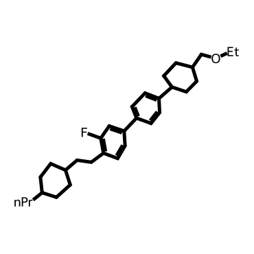 CCCC1CCC(CCc2ccc(-c3ccc(C4CCC(COCC)CC4)cc3)cc2F)CC1